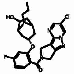 CCCN1C2CC(O)C1C[C@@H](Oc1cc(F)ccc1C(=O)N1Cc3nn4cc(Cl)cnc4c3C1)C2